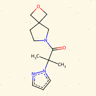 CC(C)(C(=O)N1CCC2(COC2)C1)n1c[c]cn1